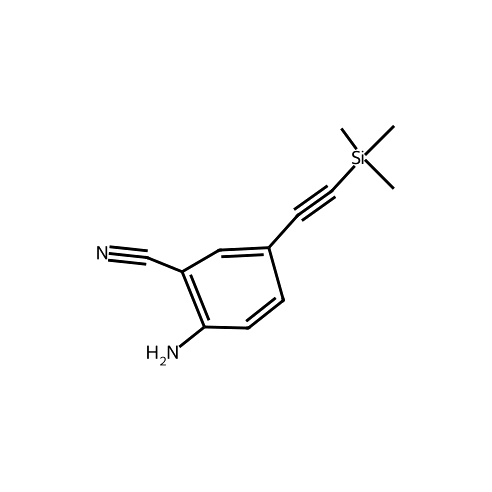 C[Si](C)(C)C#Cc1ccc(N)c(C#N)c1